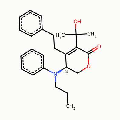 CCCN(c1ccccc1)[C@@H]1COC(=O)C(C(C)(C)O)=C1CCc1ccccc1